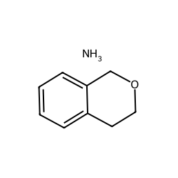 N.c1ccc2c(c1)CCOC2